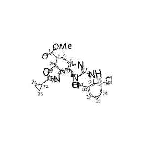 COC(=O)c1cc2nc(Nc3c(Cl)cccc3Cl)[nH]c2c2nc(C3CC3)oc12